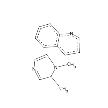 CC1C=NC=CN1C.c1ccc2ncccc2c1